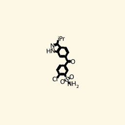 CC(C)c1n[nH]c2cc(C(=O)c3ccc(Cl)c(S(N)(=O)=O)c3)ccc12